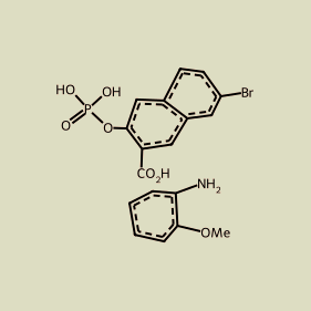 COc1ccccc1N.O=C(O)c1cc2cc(Br)ccc2cc1OP(=O)(O)O